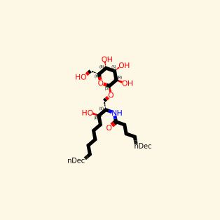 CCCCCCCCCCCCCCC[C@@H](O)[C@H](CO[C@H]1O[C@H](CO)[C@H](O)[C@H](O)[C@H]1O)NC(=O)CCCCCCCCCCCCC